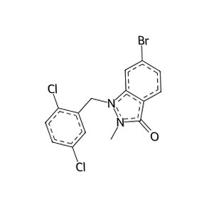 Cn1c(=O)c2ccc(Br)cc2n1Cc1cc(Cl)ccc1Cl